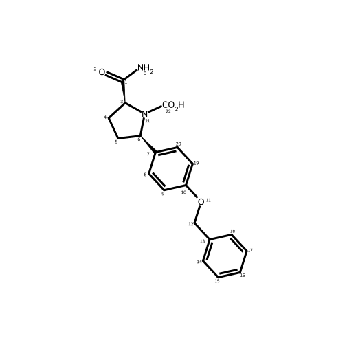 NC(=O)[C@@H]1CC[C@H](c2ccc(OCc3ccccc3)cc2)N1C(=O)O